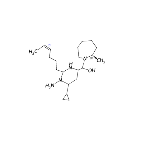 C/C=C\CCCC1NC(C(O)N2CCCCC[C@H]2C)CC(C2CC2)N1N